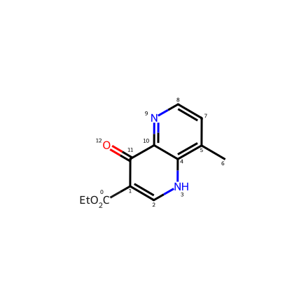 CCOC(=O)c1c[nH]c2c(C)ccnc2c1=O